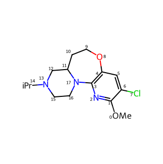 COc1nc2c(cc1Cl)OCCC1CN(C(C)C)CCN21